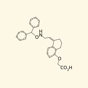 O=C(O)COc1cccc2c1CCC/C2=C/CNOC(c1ccccc1)c1ccccc1